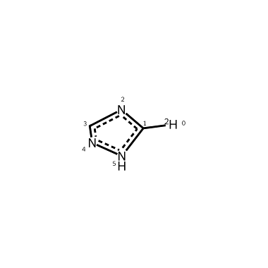 [2H]c1ncn[nH]1